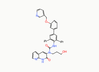 CC(C)c1cc(-c2cccc(OCc3cccnc3)c2)cc(C(C)C)c1NC(=O)N(CCCO)c1cc2cccnc2[nH]c1=O